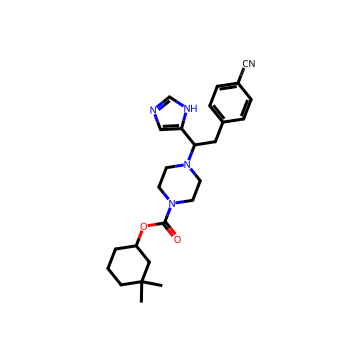 CC1(C)CCCC(OC(=O)N2CCN(C(Cc3ccc(C#N)cc3)c3cnc[nH]3)CC2)C1